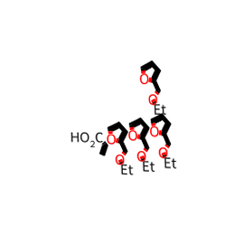 C=CC(=O)O.CCOCc1ccco1.CCOCc1ccco1.CCOCc1ccco1.CCOCc1ccco1